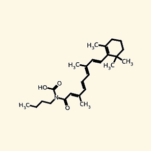 CCCCN(C(=O)O)C(=O)C=C(C)C=CC=C(C)C=CC1=C(C)CCCC1(C)C